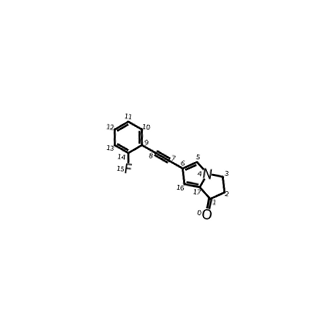 O=C1CCn2cc(C#Cc3ccccc3F)cc21